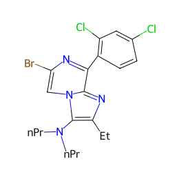 CCCN(CCC)c1c(CC)nc2c(-c3ccc(Cl)cc3Cl)nc(Br)cn12